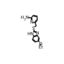 CCOc1ccc2[nH]c(SCc3cccc(N)n3)nc2c1